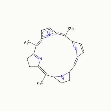 CC1=C2CCC(=N2)C(C)=c2ccc([nH]2)=C(C)C2=NC(=CC3CCC1N3)C=C2